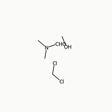 CN(C)C=O.CO.ClCCl